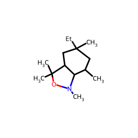 CCC1(C)CC(C)C2C(C1)C(C)(C)ON2C